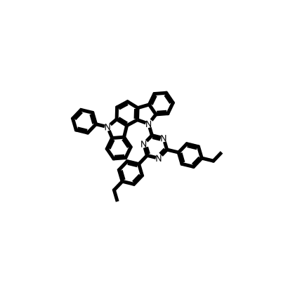 CCc1ccc(-c2nc(-c3ccc(CC)cc3)nc(-n3c4ccccc4c4ccc5c(c6ccccc6n5-c5ccccc5)c43)n2)cc1